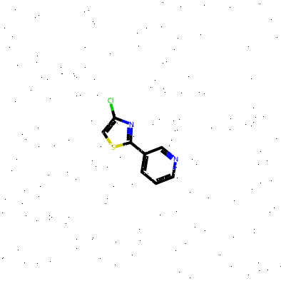 Clc1csc(-c2cccnc2)n1